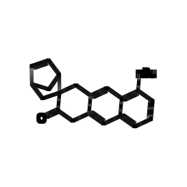 CCCCc1cccc2cc3c(cc12)CC1(CC2C=CC1C2)C(=O)C3